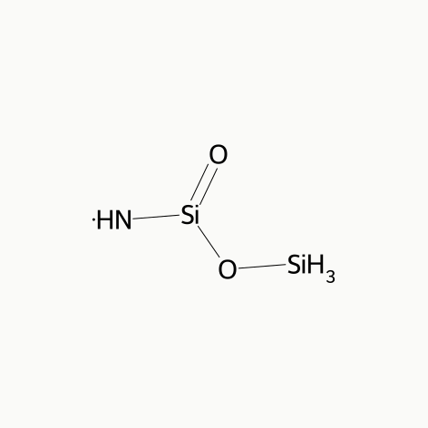 [NH][Si](=O)O[SiH3]